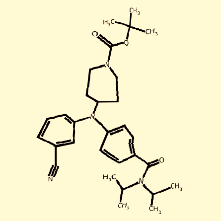 CC(C)N(C(=O)c1ccc(N(c2cccc(C#N)c2)C2CCN(C(=O)OC(C)(C)C)CC2)cc1)C(C)C